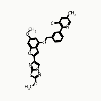 COc1cc(OCc2cccc(-c3ncc(C)cc3Cl)c2)c2cc(-c3cn4nc(OC)sc4n3)oc2c1